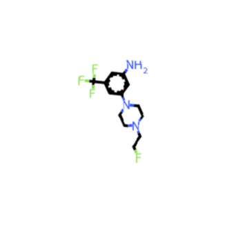 Nc1cc(N2CCN(CCF)CC2)cc(C(F)(F)F)c1